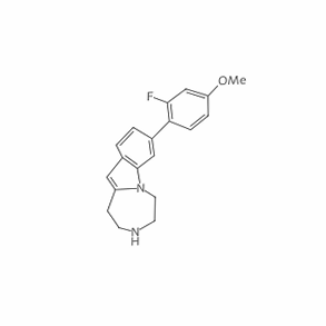 COc1ccc(-c2ccc3cc4n(c3c2)CCNCC4)c(F)c1